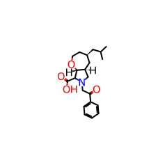 CC(C)C[C@@H]1CCO[C@H]2C(C(=O)O)N(CC(=O)c3ccccc3)C[C@@H]2C1